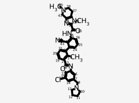 Cc1c(-c2nc3cc(CN4CCCC4)cc(Cl)c3o2)cccc1-c1cccc(NC(=O)c2nc3c(n2C)CCN(C)C3)c1C#N